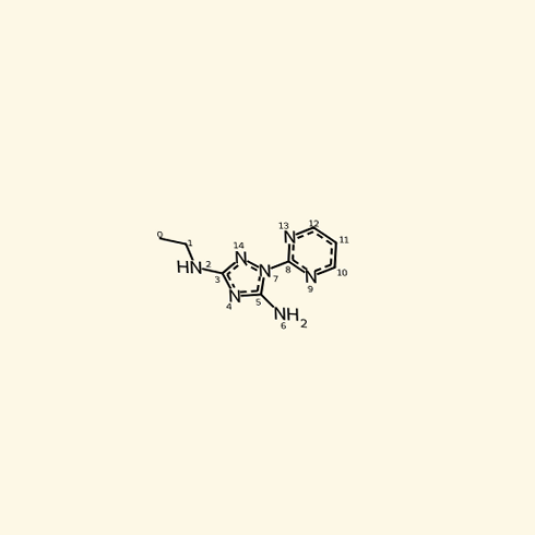 CCNc1nc(N)n(-c2ncccn2)n1